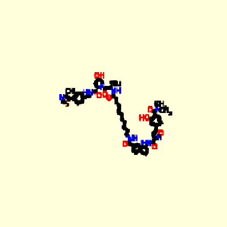 Cc1ncsc1-c1ccc(CNC(=O)[C@@H]2C[C@@H](O)CN2C(=O)[C@@H](NC(=O)CCCCCCCCCCNC(=O)c2ccc3c(c2)[C@H](NC(=O)c2cc(-c4ccc(C(=O)N(C)C)c(O)c4)on2)CC3)C(C)(C)C)cc1